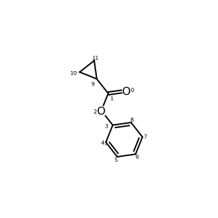 O=C(Oc1[c]cccc1)C1CC1